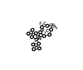 FC(F)(F)c1ccc(-c2cccc(-c3ccc4c(c3)c3cc(-c5cccc(-c6ccc(C(F)(F)F)cc6C(F)(F)F)c5)ccc3c3nc5c(-c6cccc7c6-c6ccccc6C76c7ccccc7-c7ccccc76)sc(-c6cccc7c6-c6ccccc6C76c7ccccc7-c7ccccc76)c5nc43)c2)c(C(F)(F)F)c1